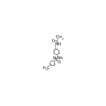 C=CC(=O)NCc1ccc(NS(=O)(=O)c2ccc(C)cc2)cc1